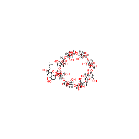 CC(C)=CC[C@H](O)C1=CC(=O)c2c(O)ccc(O)c2C1=O.OC[C@H]1O[C@@H]2O[C@H]3[C@H](O)[C@@H](O)[C@@H](O[C@H]4[C@H](O)[C@@H](O)[C@@H](O[C@H]5[C@H](O)[C@@H](O)[C@@H](O[C@H]6[C@H](O)[C@@H](O)[C@@H](O[C@H]7[C@H](O)[C@@H](O)[C@@H](O[C@H]8[C@H](O)[C@@H](O)[C@@H](O[C@H]9[C@H](O)[C@@H](O)[C@@H](O[C@H]1[C@H](O)[C@H]2O)O[C@@H]9CO)O[C@@H]8CO)O[C@@H]7CO)O[C@@H]6CO)O[C@@H]5CO)O[C@@H]4CO)O[C@@H]3CO